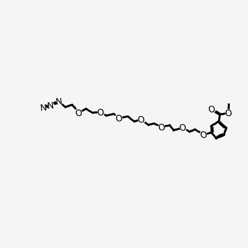 COC(=O)c1cccc(OCCOCCOCCOCCOCCOCCOCCN=[N+]=[N-])c1